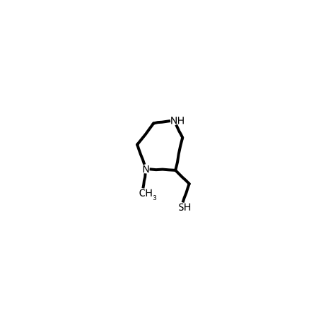 CN1CCNCC1CS